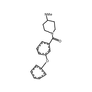 CNC1CCN(C(=O)c2cccc(Oc3ccccc3)c2)CC1